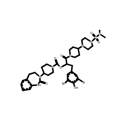 CN(C)S(=O)(=O)N1CCN(C2CCN(C(=O)C(Cc3cc(Br)c(O)c(Br)c3)OC(=O)N3CCC(N4CCc5ccccc5NC4=O)CC3)CC2)CC1